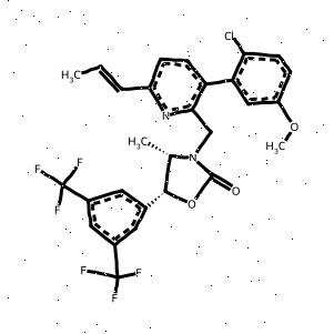 CC=Cc1ccc(-c2cc(OC)ccc2Cl)c(CN2C(=O)O[C@H](c3cc(C(F)(F)F)cc(C(F)(F)F)c3)[C@@H]2C)n1